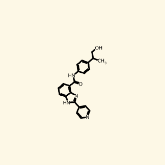 CC(CO)c1ccc(NC(=O)c2cccc3[nH]c(-c4ccncc4)nc23)cc1